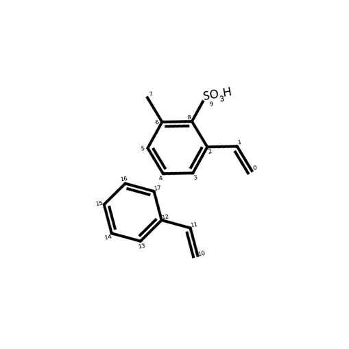 C=Cc1cccc(C)c1S(=O)(=O)O.C=Cc1ccccc1